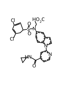 O=C(O)CN(c1ccc2c(ccn2-c2cc(C(=O)NC3CC3)ccn2)c1)S(=O)(=O)C1C=C(Cl)C=C(Cl)C1